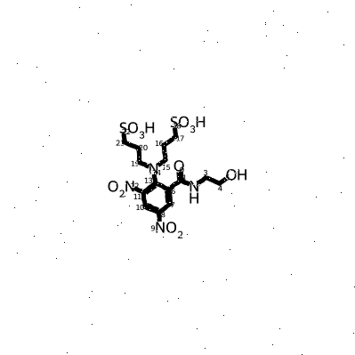 O=C(NCCO)c1cc([N+](=O)[O-])cc([N+](=O)[O-])c1N(CCCS(=O)(=O)O)CCCS(=O)(=O)O